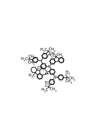 CC(C)(C)c1ccc(C(c2ccc(C(C)(C)C)cc2)c2cc3c4c(c2)N(c2ccc5c(c2)-c2ccccc2C5(C)C)c2ccc(N(c5ccc(C(C)(C)C)cc5)c5ccc(C(C)(C)C)cc5)cc2S42CC2c2cccc4c2C3C2(C)CCCCC42C)cc1